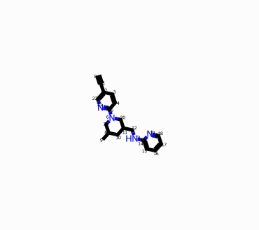 C#Cc1ccc(N2CC(C)CC(CNc3ccccn3)C2)nc1